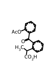 CC(=O)Oc1ccccc1C(=O)c1ccccc1C(C)C(=O)O